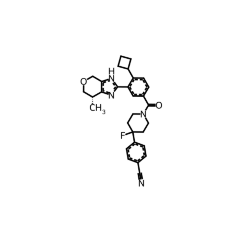 C[C@@H]1COCc2[nH]c(-c3cc(C(=O)N4CCC(F)(c5ccc(C#N)cc5)CC4)ccc3C3CCC3)nc21